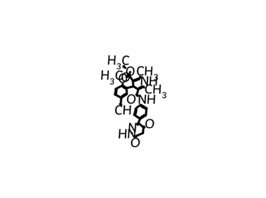 C#Cc1ccc(OC)c(C2C(C(=O)Nc3ccc(C4=NNC(=O)CC4=O)cc3)=C(C)NC(C)=C2C(=O)OCC)c1